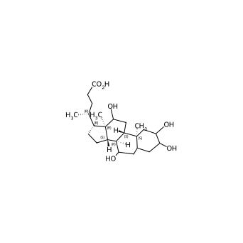 C[C@H](CCC(=O)O)[C@H]1CC[C@H]2[C@@H]3C(O)CC4CC(O)C(O)C[C@]4(C)[C@H]3CC(O)[C@]12C